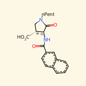 CCCCCN1C[C@@H](C(=O)O)[C@H](NC(=O)c2ccc3ccccc3c2)C1=O